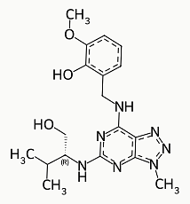 COc1cccc(CNc2nc(N[C@@H](CO)C(C)C)nc3c2nnn3C)c1O